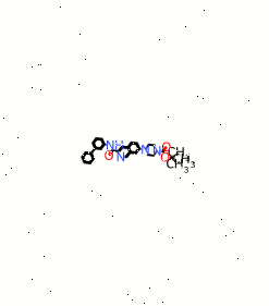 CC(C)(C)OC(=O)N1CCN(c2ccc3cc(C(=O)Nc4cccc(-c5ccccc5)c4)ncc3c2)CC1